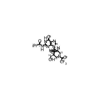 CC(C)C(=O)Nc1nc2c(ncn2[C@@H]2O[C@@]3(CO)CN(C(=O)C(F)(F)F)C[C@@H]2[C@@H]3O)c(=O)[nH]1